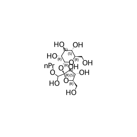 CCCOC(O)[C@@]1(O[C@H]2O[C@H](CO)[C@@H](O)[C@H](O)[C@H]2O)O[C@H](CO)[C@@H](O)[C@@H]1O